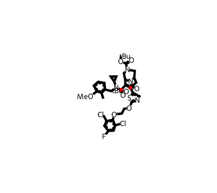 COc1cccc(CN(C(=O)C2=C(c3cnc(OCCOc4c(Cl)cc(F)cc4Cl)s3)CC3CN(C(=O)OC(C)(C)C)CC2N3C(=O)OC(C)(C)C)C2CC2)c1C